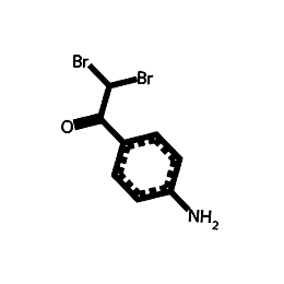 Nc1ccc(C(=O)C(Br)Br)cc1